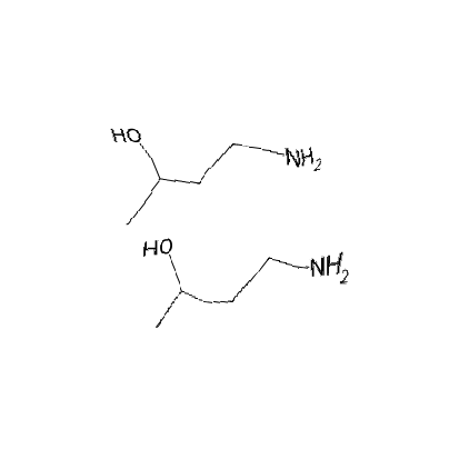 CC(O)CCN.CC(O)CCN